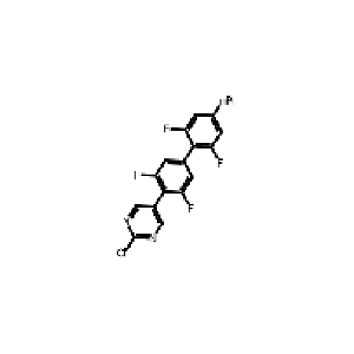 CCCc1cc(F)c(-c2cc(F)c(-c3cnc(Cl)nc3)c(F)c2)c(F)c1